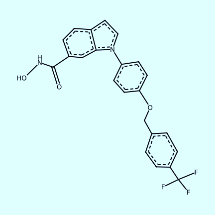 O=C(NO)c1ccc2ccn(-c3ccc(OCc4ccc(C(F)(F)F)cc4)cc3)c2c1